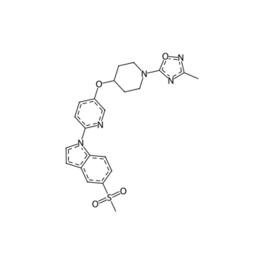 Cc1noc(N2CCC(Oc3ccc(-n4ccc5cc(S(C)(=O)=O)ccc54)nc3)CC2)n1